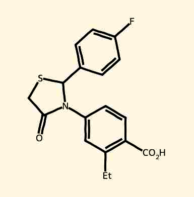 CCc1cc(N2C(=O)CSC2c2ccc(F)cc2)ccc1C(=O)O